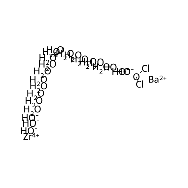 ClOCl.O.O.O.O.O.O.O.O.O.O.O.O.O.O.O.O.[Ba+2].[OH-].[OH-].[OH-].[OH-].[OH-].[OH-].[Zr+4]